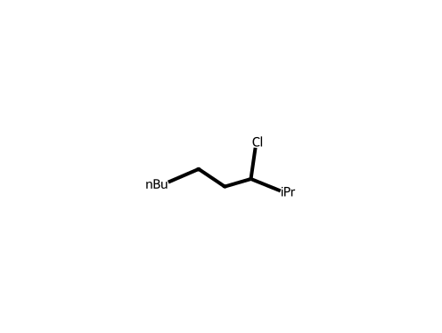 CCCCCCC(Cl)C(C)C